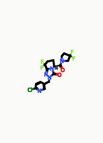 O=C([C@@H]1CCC(F)(F)c2nn(Cc3ccc(Cl)nc3)c(=O)n21)N1CCC(F)(F)C1